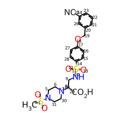 CS(=O)(=O)N1CCN([C@@H](CNS(=O)(=O)c2ccc(OCc3cccc(C#N)c3)cc2)C(=O)O)CC1